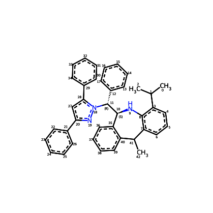 CC(C)c1cccc2c1N[C@H]([C@@H](c1ccccc1)n1nc(-c3ccccc3)cc1-c1ccccc1)c1ccccc1C2C